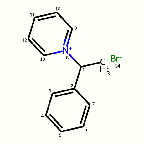 CC(c1ccccc1)[n+]1ccccc1.[Br-]